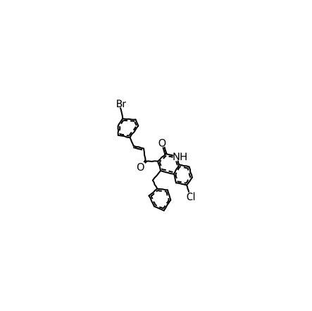 O=C(/C=C/c1ccc(Br)cc1)c1c(Cc2ccccc2)c2cc(Cl)ccc2[nH]c1=O